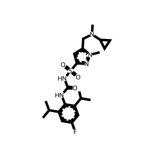 CC(C)c1cc(F)cc(C(C)C)c1NC(=O)NS(=O)(=O)c1cc(CN(C)C2CC2)n(C)n1